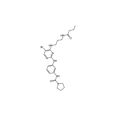 CCCC(=O)NCCCNc1nc(Nc2cccc(NC(=O)N3CCCC3)c2)ncc1Br